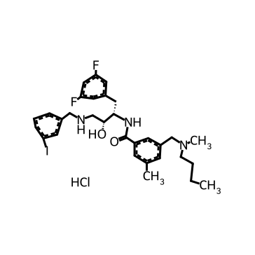 CCCCN(C)Cc1cc(C)cc(C(=O)N[C@@H](Cc2cc(F)cc(F)c2)[C@H](O)CNCc2cccc(I)c2)c1.Cl